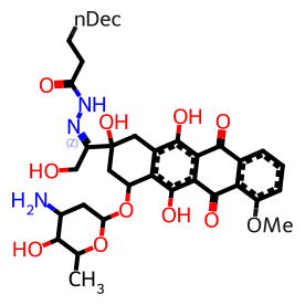 CCCCCCCCCCCCC(=O)N/N=C(/CO)C1(O)Cc2c(O)c3c(c(O)c2C(OC2CC(N)C(O)C(C)O2)C1)C(=O)c1c(OC)cccc1C3=O